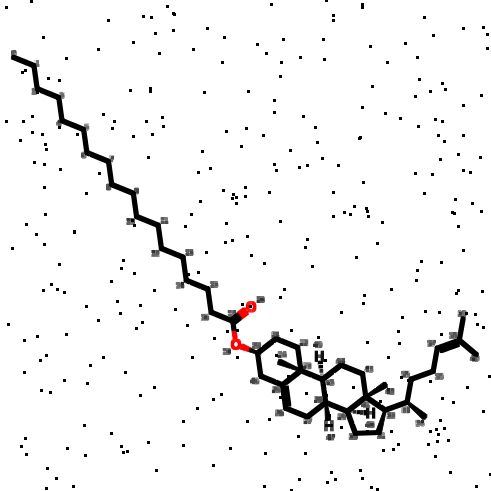 CCCCCCCCCCCCCCCCCC(=O)O[C@H]1CC[C@@]2(C)C(=CC[C@H]3[C@@H]4CC[C@H]([C@H](C)CCC=C(C)C)[C@@]4(C)CC[C@@H]32)C1